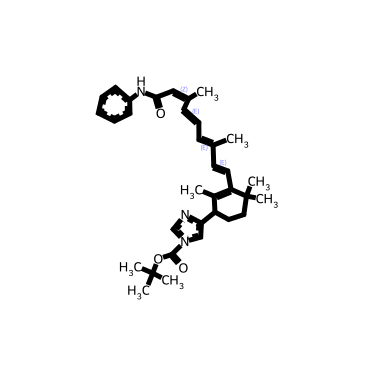 CC1=C(/C=C/C(C)=C/C=C/C(C)=C\C(=O)Nc2ccccc2)C(C)(C)CCC1c1cn(C(=O)OC(C)(C)C)cn1